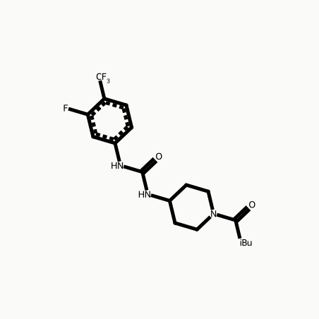 CCC(C)C(=O)N1CCC(NC(=O)Nc2ccc(C(F)(F)F)c(F)c2)CC1